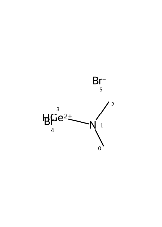 C[N](C)[GeH+2].[Br-].[Br-]